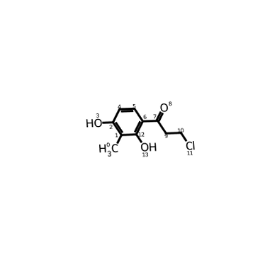 Cc1c(O)ccc(C(=O)CCCl)c1O